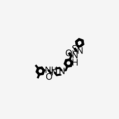 Cc1cc(C)cc(NC(=O)N2CCN(Cc3ccc(C(=O)Nc4nc5ccccc5s4)cc3)CC2)c1